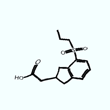 CCCS(=O)(=O)c1cccc2c1CC(CC(=O)O)C2